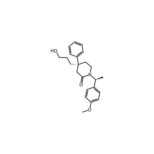 COc1ccc([C@H](C)N2CC[C@](CCCO)(c3ccccc3)CC2=O)cc1